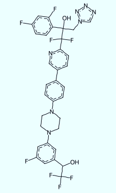 OC(c1cc(F)cc(N2CCN(c3ccc(-c4ccc(C(F)(F)C(O)(Cn5cnnn5)c5ccc(F)cc5F)nc4)cc3)CC2)c1)C(F)(F)F